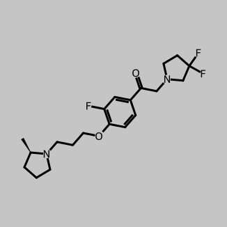 C[C@@H]1CCCN1CCCOc1ccc(C(=O)CN2CCC(F)(F)C2)cc1F